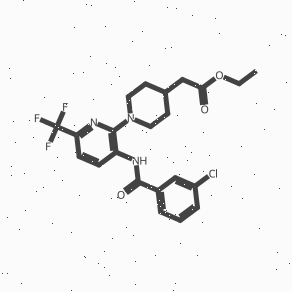 CCOC(=O)CC1CCN(c2nc(C(F)(F)F)ccc2NC(=O)c2cccc(Cl)c2)CC1